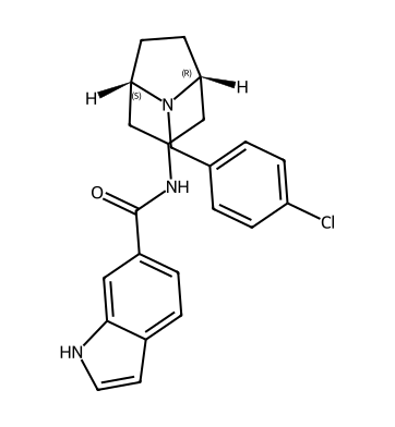 O=C(NC1C[C@H]2CC[C@@H](C1)N2Cc1ccc(Cl)cc1)c1ccc2cc[nH]c2c1